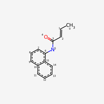 CC=CC(=O)[N]c1cccc2ccccc12